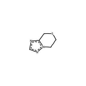 c1nc2n(n1)CCSC2